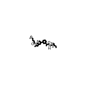 CCc1cnc(NC(=O)C(C)c2cccc(-c3cnc4c(c3)cc(C)n4C(=O)C=CCN(C)C)c2)s1